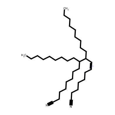 CCCCCCCCCC(/C=C\CCCCCC#N)C(CCCCCCCC#N)CCCCCCCCC